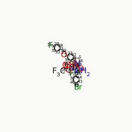 NC1CC2CCC(C1)N2C(=O)[C@H](N(OC(=O)C(F)(F)F)S(=O)(=O)c1cccc(OCc2ccc(F)cc2)c1)C(F)(F)c1ccc(Br)cc1